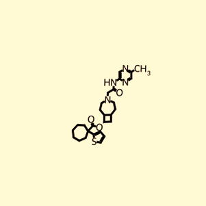 Cc1cnc(NC(=O)CN2CCC3C[C@H](OC(=O)C4(c5cccs5)CCCCCC4)C3CC2)cn1